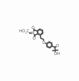 CC(C)(O)C(=O)c1ccc(OCCc2cccc3c2C(=O)N(CC(=O)O)C3=O)cc1